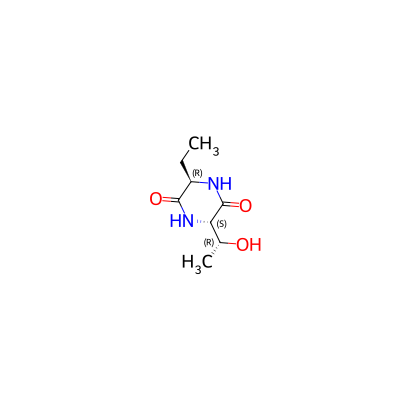 CC[C@H]1NC(=O)[C@H]([C@@H](C)O)NC1=O